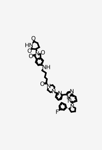 O=C1CCC(N2C(=O)c3ccc(NCCCCC(=O)N4CCN(c5cccc(-c6cnc7ccc(N8CCC[C@@H]8c8cccc(F)c8)nn67)n5)CC4)cc3C2=O)C(=O)N1